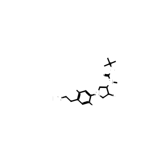 CN(C(=O)OC(C)(C)C)C1CN(c2cc(F)c(CCN)cc2F)CC1F